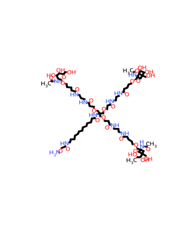 CC(=O)NC1C(O)[C@@H](O)C(CO)O[C@H]1OCCCCC(=O)NCCCNC(=O)CCOCC(COCCC(=O)NCCCNC(=O)CCCCO[C@@H]1OC2C(CO)(C(O)C(C)O)CC21NC(C)=O)(COCCC(=O)NCCCNC(=O)CCCCO[C@@H]1OC2C3(CO)C(C(O)[C@H]3O)C21NC(C)=O)NC(=O)CCCCCCCCCCCCNC(=O)CON